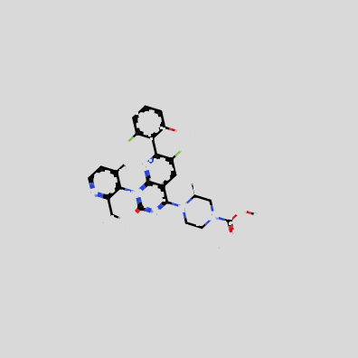 Cc1ccnc([C@H](C)C(F)(F)F)c1-n1c(=O)nc(N2C[C@@H](C)N(C(=O)OC(C)(C)C)C[C@@H]2C)c2cc(F)c(-c3c(O)cccc3F)nc21